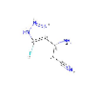 N#CC[C@@H](N)c1nn[nH]c1F